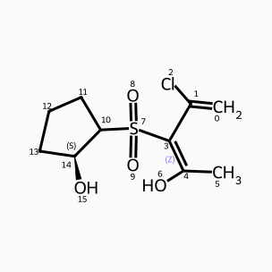 C=C(Cl)/C(=C(\C)O)S(=O)(=O)C1CCC[C@@H]1O